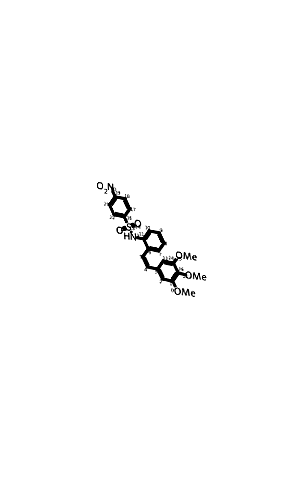 COc1cc(/C=C\c2ccccc2NS(=O)(=O)c2ccc([N+](=O)[O-])cc2)cc(OC)c1OC